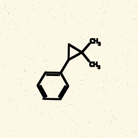 CC1(C)CC1c1cc[c]cc1